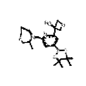 CC1COCCN1c1cc(B2OC(C)(C)C(C)(C)O2)cc(C2(O)COC2)n1